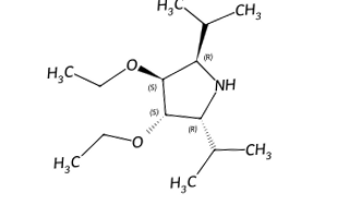 CCO[C@@H]1[C@@H](OCC)[C@@H](C(C)C)N[C@@H]1C(C)C